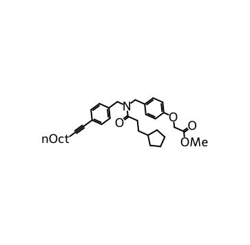 CCCCCCCCC#Cc1ccc(CN(Cc2ccc(OCC(=O)OC)cc2)C(=O)CCC2CCCC2)cc1